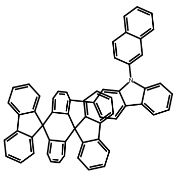 c1ccc2c(c1)-c1ccccc1C21c2ccccc2C2(c3ccccc3-c3ccccc32)c2c(-c3ccc4c5ccccc5n(-c5ccc6ccccc6c5)c4c3)cccc21